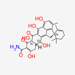 CC1=CCCC(C)(C)[C@@]12Cc1c3c(c(O)c4c(O)cc(C)c2c14)C(=O)[C@]1(O)C(=O)C(C(N)=O)=C(O)C[C@@H]1[C@@H]3O